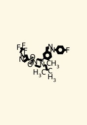 Cc1cc2c(cnn2-c2ccc(F)cc2)cc1[C@@H]1CN(S(=O)(=O)c2cnn(CC(F)(F)F)c2)CCN1CC(C)C